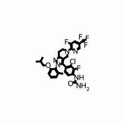 Cc1cccc(OCC(C)C)c1-n1nc2c(c1-c1ccc(NC(N)=O)c(F)c1Cl)CN(c1ncc(C(F)(F)F)cc1F)CC2